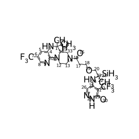 CC1(C)Nc2cc(C(F)(F)F)cnc2N2CCN(C(=O)CCOC[C@](C)([SiH3])Nc3cn[nH]c(=O)c3C(F)(F)F)C[C@@H]21